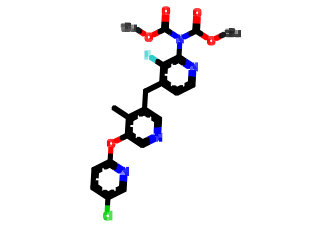 Cc1c(Cc2ccnc(N(C(=O)OC(C)(C)C)C(=O)OC(C)(C)C)c2F)cncc1Oc1ccc(Cl)cn1